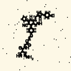 N#CC1=C(N2CCCC2)NC(SCC2=CSC(c3ccc(Cl)cc3)N2)C(C=N)=C1c1ccc(OCCOC(=O)CNC(=O)[C@H](C=N)N=NN)cc1